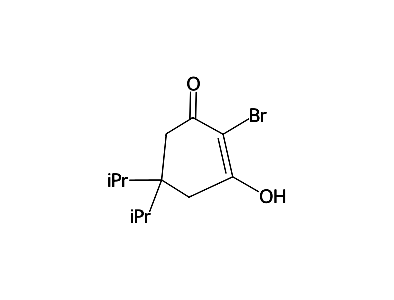 CC(C)C1(C(C)C)CC(=O)C(Br)=C(O)C1